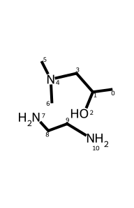 CC(O)CN(C)C.NCCN